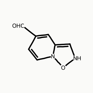 O=CC1=CC2=CNON2C=C1